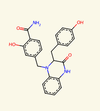 NC(=O)c1ccc(CN2c3ccccc3NC(=O)C2Cc2ccc(O)cc2)cc1O